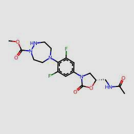 COC(=O)N1CCN(c2c(F)cc(N3C[C@H](CNC(C)=O)OC3=O)cc2F)CCN1